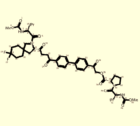 COC(=O)N[C@H](C(=O)N1CC2(CCC(F)(F)CC2)C[C@H]1C(=O)CCC(=O)c1ccc(-c2ccc(C(=O)COC(=O)[C@@H]3CCCN3C(=O)[C@@H](NC(=O)OC)C(C)C)cc2)cc1)C(C)C